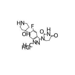 Cl.Cn1nc(N2CCC(=O)NC2=O)c2cc(F)c(C3(O)CCNCC3)cc21